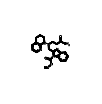 CC(C)(C)OC(=O)n1c(CN(CCC(N)=O)[C@H]2CCCc3cccnc32)nc2ccccc21